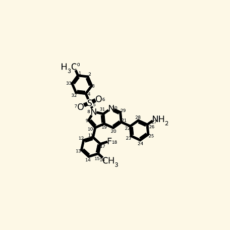 Cc1ccc(S(=O)(=O)n2cc(-c3cccc(C)c3F)c3cc(-c4cccc(N)c4)cnc32)cc1